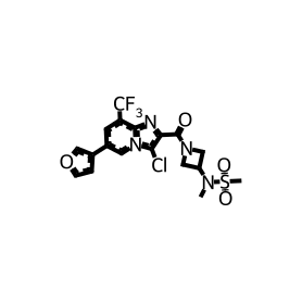 CN(C1CN(C(=O)c2nc3c(C(F)(F)F)cc(-c4ccoc4)cn3c2Cl)C1)S(C)(=O)=O